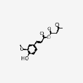 COc1cc(/C=C/C(=O)OC(=O)CC(C)=O)ccc1O